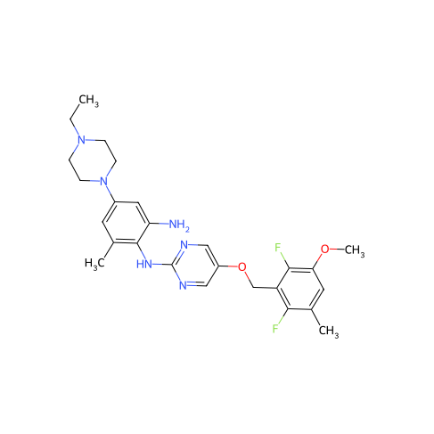 CCN1CCN(c2cc(C)c(Nc3ncc(OCc4c(F)c(C)cc(OC)c4F)cn3)c(N)c2)CC1